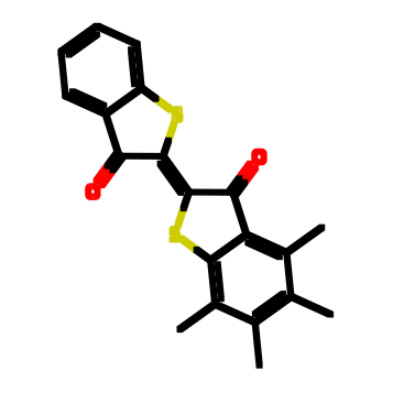 Cc1c(C)c(C)c2c(c1C)SC(=C1Sc3ccccc3C1=O)C2=O